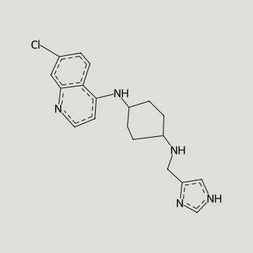 Clc1ccc2c(NC3CCC(NCc4c[nH]cn4)CC3)ccnc2c1